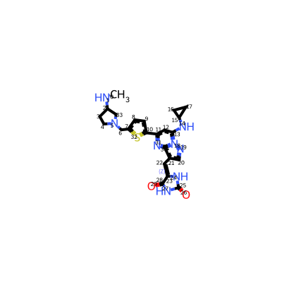 CNC1CCN(Cc2ccc(-c3cc(NC4CC4)n4ncc(/C=C5\NC(=O)NC5=O)c4n3)s2)C1